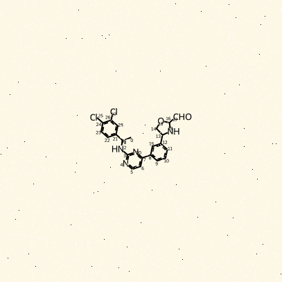 C[C@@H](Nc1nccc(-c2cccc(C3COC(C=O)N3)c2)n1)c1ccc(Cl)c(Cl)c1